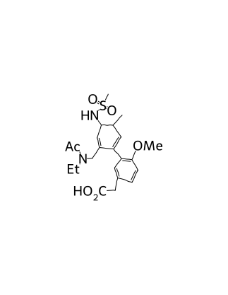 CCN(CC1=CC(NS(C)(=O)=O)C(C)C=C1c1cc(CC(=O)O)ccc1OC)C(C)=O